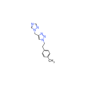 Cc1ccc(CCn2cc(Cn3cncn3)nn2)cc1